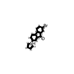 O=C1c2cc(Br)ccc2-c2ccc([SH]3C=CC=C3)cc21